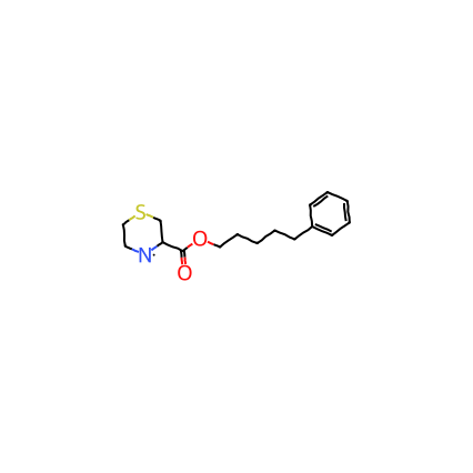 O=C(OCCCCCc1ccccc1)C1CSCC[N]1